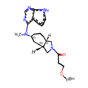 CCCCOCCC(=O)N1C[C@H]2C[C@H](N(C)c3ncnc4[nH]ccc34)C[C@H]2C1